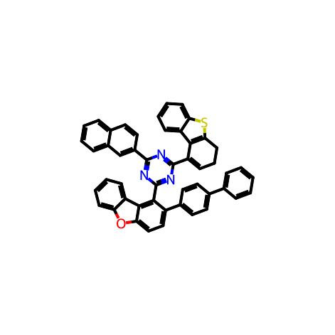 C1=C(c2nc(-c3ccc4ccccc4c3)nc(-c3c(-c4ccc(-c5ccccc5)cc4)ccc4oc5ccccc5c34)n2)c2c(sc3ccccc23)CC1